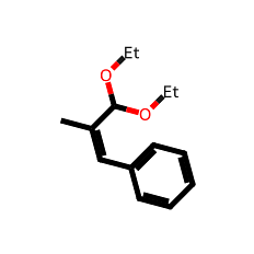 CCOC(OCC)C(C)=Cc1ccccc1